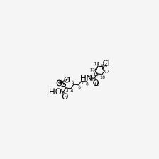 O=C(O)C(CCCCCNC(=O)c1ccc(Cl)cc1)=S(=O)=O